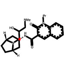 CNCC(O)CN1[C@@H]2CC[C@H]1C[C@@H](NC(=O)c1cc3ccccc3n(C(C)C)c1=O)C2